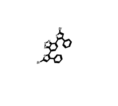 Brc1cc(-c2ccccc2)c(-c2ccc(-c3sc(Br)cc3-c3ccccc3)c3nsnc23)s1